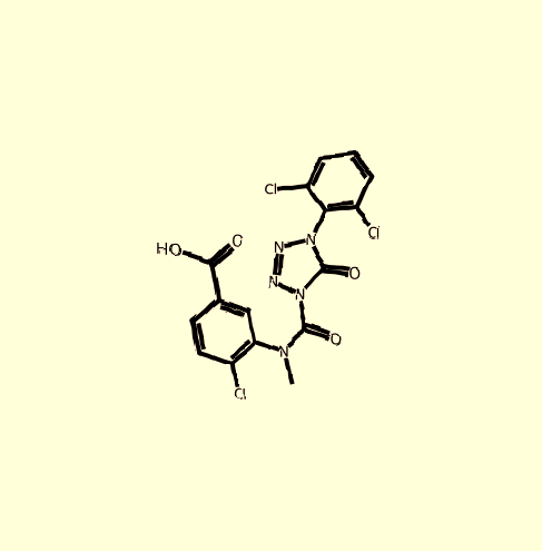 CN(C(=O)n1nnn(-c2c(Cl)cccc2Cl)c1=O)c1cc(C(=O)O)ccc1Cl